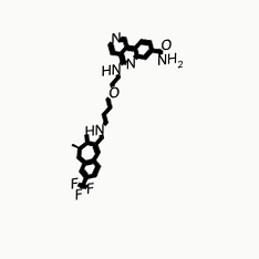 CC1C(CNCCCCOCCNc2nc3cc(C(N)=O)ccc3c3cnccc23)=Cc2ccc(C(F)(F)F)cc2C[C@H]1C